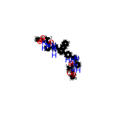 CC(C)[C@H](NC(=O)OC(C)(C)C)C(=O)N1CCC[C@H]1c1ncc(-c2ccc(C3CCC(c4cnc([C@@H]5CCCN5C(=O)[C@@H](NC(=O)OC(C)(C)C)C(C)C)[nH]4)CC3)c3c2CC2(CCCC2)C3)[nH]1